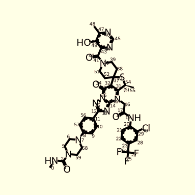 CNC(=O)N1CCN(c2ccc(-c3nc4n(CC(=O)Nc5ccc(C(F)(F)F)cc5Cl)c5c(c(=O)n4n3)C3(CCN(C(=O)c4ncnc(C)c4O)CC3)S[C@H]5C)cc2)CC1